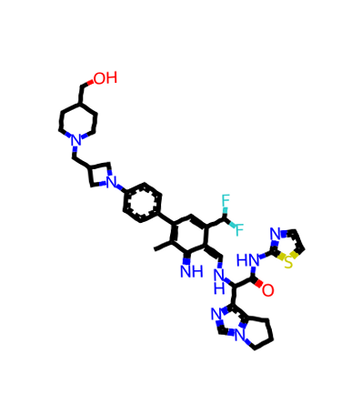 CC1=C(c2ccc(N3CC(CN4CCC(CO)CC4)C3)cc2)C=C(C(F)F)/C(=C/NC(C(=O)Nc2nccs2)c2ncn3c2CCC3)C1=N